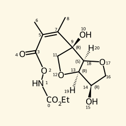 CCOC(=O)NOC(=O)C(C)=C(C)[C@@]1(O)CO[C@@H]2[C@H](O)CO[C@@H]21